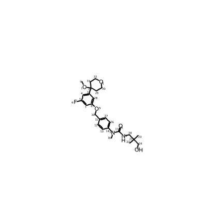 COC1(c2cc(F)cc(OCc3ccc(N(C)C(=O)NCC(C)(C)CO)cc3)c2)CCOCC1